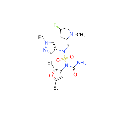 CCc1cc(N(C(N)=O)S(=O)(=O)N(C[C@@H]2C[C@@H](F)CN2C)c2cnn(C(C)C)c2)c(CC)o1